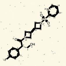 O=C([C@H](CO)c1ccc(F)cc1)N1CC(=C2CN(S(=O)(=O)c3ccccn3)C2)C1